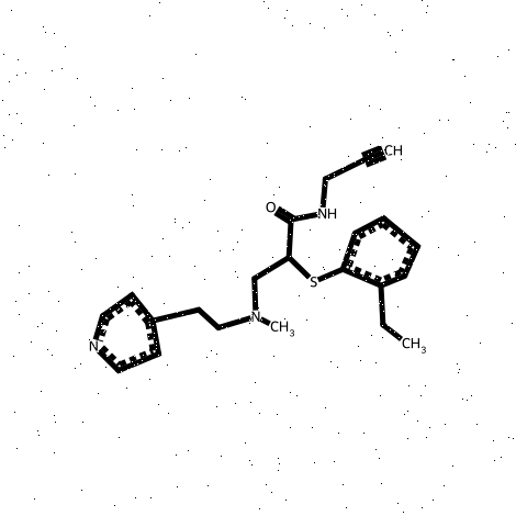 C#CCNC(=O)C(CN(C)CCc1ccncc1)Sc1ccccc1CC